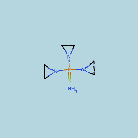 N.S=P(N1CC1)(N1CC1)N1CC1